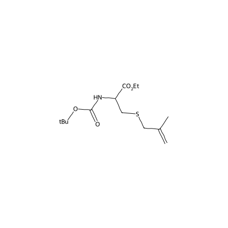 C=C(C)CSCC(NC(=O)OC(C)(C)C)C(=O)OCC